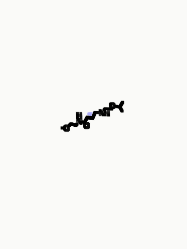 COCCNC(=O)/C=C/CNCCOC(C)C